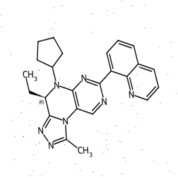 CC[C@@H]1c2nnc(C)n2-c2cnc(-c3cccc4cccnc34)nc2N1C1CCCC1